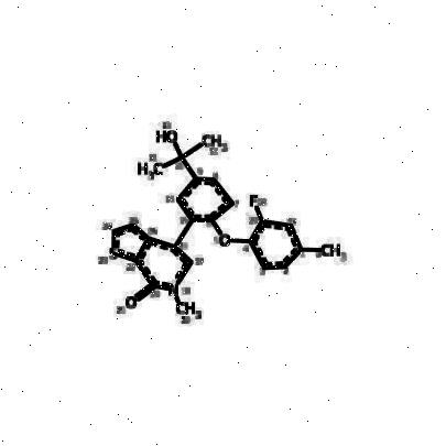 Cc1ccc(Oc2ccc(C(C)(C)O)cc2-c2cn(C)c(=O)c3sccc23)c(F)c1